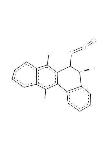 Cc1c2c(c(C)c3ccccc13)C(N=[N+]=[N-])[C@@H](O)c1ccccc1-2